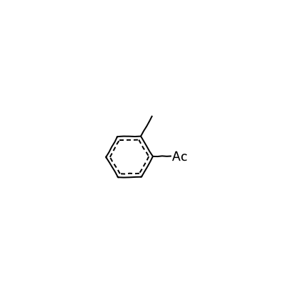 [CH2]C(=O)c1ccccc1C